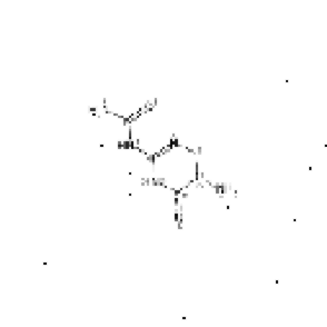 NC(=O)NC1=NC[C@H](N)C(=O)N1